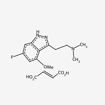 COc1cc(F)cc2[nH]nc(CCN(C)C)c12.O=C(O)/C=C/C(=O)O